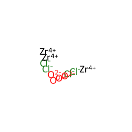 [Cl-].[Cl-].[Cl-].[Cl-].[O-2].[O-2].[O-2].[O-2].[Zr+4].[Zr+4].[Zr+4]